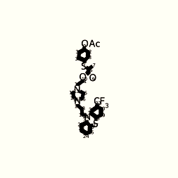 CC(=O)Oc1ccc(SC(C)C(=O)OCCN2CCN(CCCN3c4ccccc4Sc4ccc(C(F)(F)F)cc43)CC2)cc1